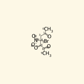 CC(=O)CC(Br)(C(=O)C(C)=O)[N+](=O)[O-]